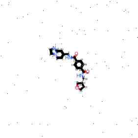 O=C(NCc1ccn2ccnc2c1)c1ccc(C(=O)NC[C@@H]2CCOC2)cc1